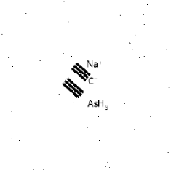 C#C.[AsH3].[C-]#C.[Na+]